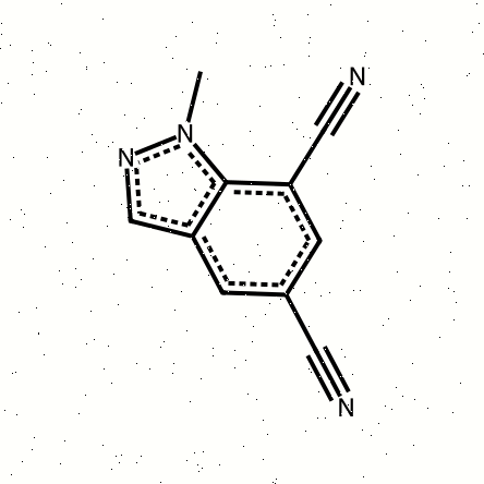 Cn1ncc2cc(C#N)cc(C#N)c21